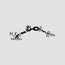 CC(C)(C)CC(C)(CO)COCCCCn1cc(-c2ccc(C(=O)NCCCNC(=O)C(C)(C)C)cc2)nn1